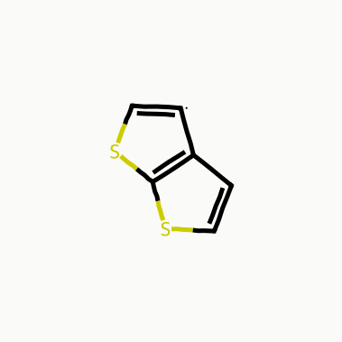 [c]1csc2sccc12